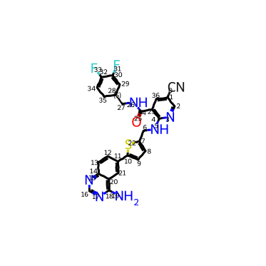 N#Cc1cnc(NCc2ccc(-c3ccc4ncnc(N)c4c3)s2)c(C(=O)NC[C@@H]2C=C(F)C(F)=CC2)c1